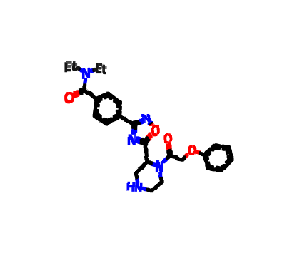 CCN(CC)C(=O)c1ccc(-c2noc(C3CNCCN3C(=O)COc3ccccc3)n2)cc1